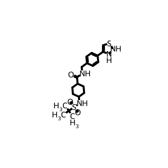 CC(C)(C)S(=O)(=O)NC1CCC(C(=O)NCc2ccc(C3=CSNN3)cc2)CC1